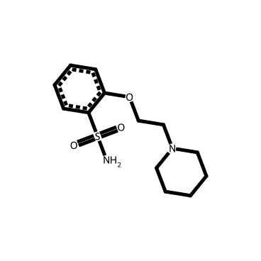 NS(=O)(=O)c1ccccc1OCCN1CCCCC1